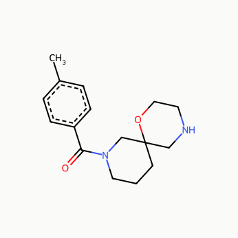 Cc1ccc(C(=O)N2CCCC3(CNCCO3)C2)cc1